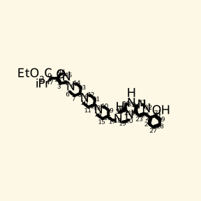 CCOC(=O)C(c1cc(N2CCC(N3CCC(N4CCC(CN5CCN6c7cc(-c8ccccc8O)nnc7NC[C@H]6C5)CC4)CC3)CC2)no1)C(C)C